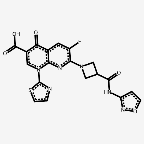 O=C(O)c1cn(-c2nccs2)c2nc(N3CC(C(=O)Nc4ccon4)C3)c(F)cc2c1=O